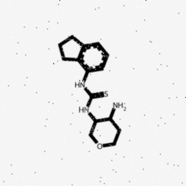 NC1CCOCC1NC(=S)Nc1cccc2c1CCC2